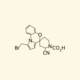 N#CC1CC2(CCN1C(=O)O)Oc1ccccc1-n1c(CBr)ccc12